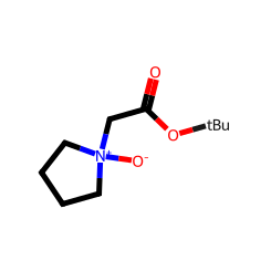 CC(C)(C)OC(=O)C[N+]1([O-])CCCC1